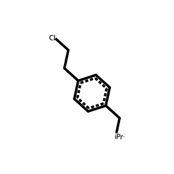 C[C](C)Cc1ccc(CCCl)cc1